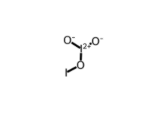 [O-][I+2]([O-])OI